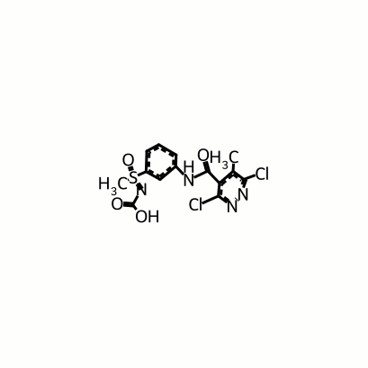 Cc1c(Cl)nnc(Cl)c1C(=O)Nc1cccc(S(C)(=O)=NC(=O)O)c1